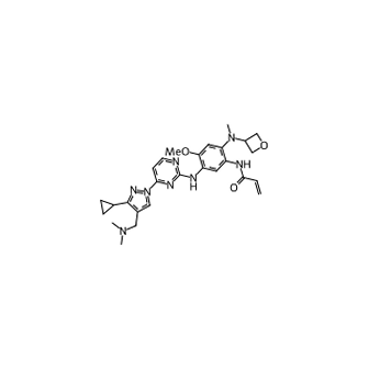 C=CC(=O)Nc1cc(Nc2nccc(-n3cc(CN(C)C)c(C4CC4)n3)n2)c(OC)cc1N(C)C1COC1